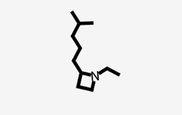 CCN1CCC1CCCC(C)C